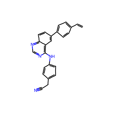 C=Cc1ccc(-c2ccc3ncnc(Nc4ccc(CC#N)cc4)c3c2)cc1